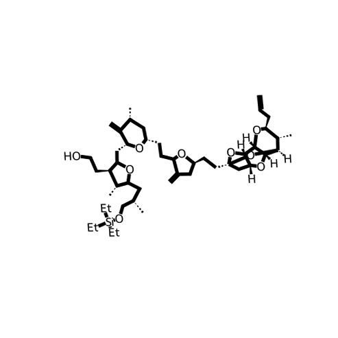 C=CC[C@@H]1O[C@@H]2[C@H]3O[C@@H]4C[C@@](CC[C@H]5CC(=C)C(CC[C@H]6C[C@@H](C)C(=C)[C@@H](CC7OC(C[C@H](C)CO[Si](CC)(CC)CC)[C@H](C)[C@H]7CCO)O6)O5)(O[C@H]24)O[C@H]3[C@H]1C